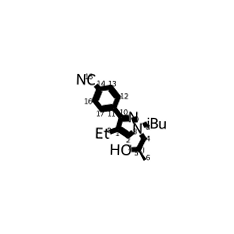 CCC1=C[N+](C[C@@H](C)O)(C(C)CC)N=C1c1ccc(C#N)cc1